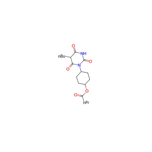 CCCCC1C(=O)NC(=O)N(C2CCC(OC(=O)CCC)CC2)C1=O